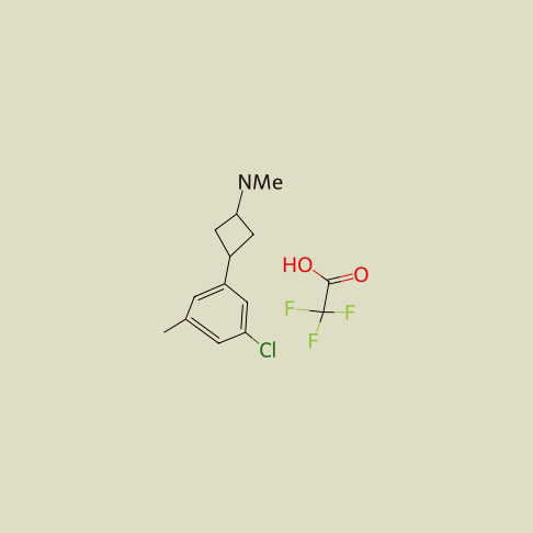 CNC1CC(c2cc(C)cc(Cl)c2)C1.O=C(O)C(F)(F)F